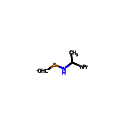 CCCC(C)NS[C]=O